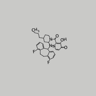 CCCCC1CCN2C(=O)c3c(O)c(=O)ccn3N(C3c4cccc(F)c4CCc4c(F)cccc43)C2C1